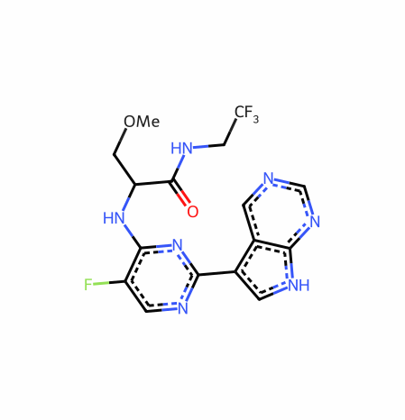 COCC(Nc1nc(-c2c[nH]c3ncncc23)ncc1F)C(=O)NCC(F)(F)F